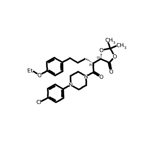 CCOc1ccc(CCC[C@@H](C(=O)N2CCN(c3ccc(Cl)cc3)CC2)[C@@H]2OC(C)(C)OC2=O)cc1